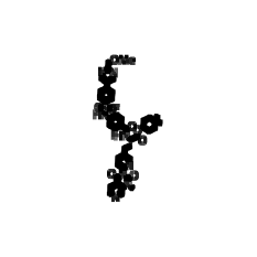 COCc1ncc(-c2ccc(S(=O)(=O)Nc3cc(F)c(C(=O)N[C@@H](CCc4ccc(-n5c(=O)c6ccncc6n(C)c5=O)nc4)C(=O)OC4CCC(C)(C)CC4)cc3F)cc2)cn1